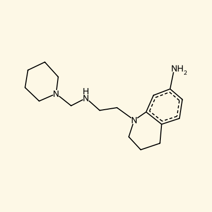 Nc1ccc2c(c1)N(CCNCN1CCCCC1)CCC2